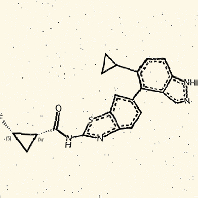 O=C(Nc1nc2ccc(-c3c(C4CC4)ccc4[nH]ncc34)cc2s1)[C@@H]1C[C@@H]1F